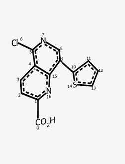 O=C(O)c1ccc2c(Cl)ncc(-c3cccs3)c2n1